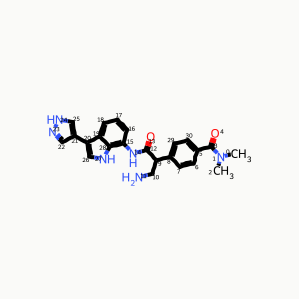 CN(C)C(=O)c1ccc(C(CN)C(=O)Nc2cccc3c(-c4cn[nH]c4)c[nH]c23)cc1